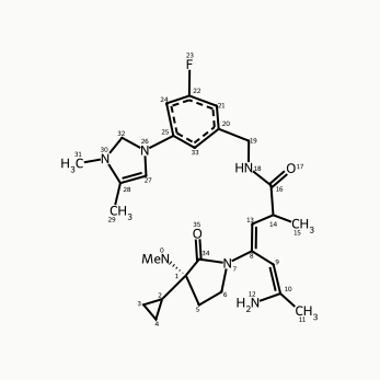 CN[C@@]1(C2CC2)CCN(C(/C=C(/C)N)=C/C(C)C(=O)NCc2cc(F)cc(N3C=C(C)N(C)C3)c2)C1=O